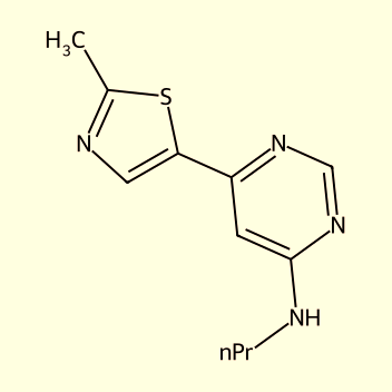 CCCNc1cc(-c2cnc(C)s2)ncn1